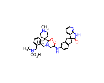 CN1CCC(C)(C(=O)N(CC(=O)Nc2ccc3c(c2)CC2(C3)C(=O)Nc3ncccc32)Cc2ccccc2CN(C)C(=O)O)CC1